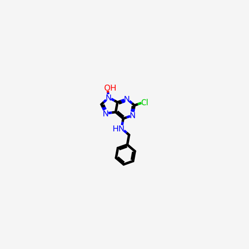 On1cnc2c(NCc3ccccc3)nc(Cl)nc21